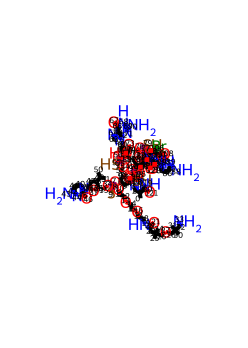 Cc1cn([C@H]2CC(OP(=S)(OCCOCCOCCNC(=O)CC(C)(C)COCC(C)(C)CN)OC[C@H]3O[C@@H](n4ccc(N)nc4=O)CC3C(C)C)[C@@H](COP(=O)(S)OC3C[C@H](n4cnc5c(=O)[nH]c(N)nc54)O[C@@H]3COP(=O)(S)OC3C[C@H](n4ccc(N)nc4=O)O[C@@H]3COP(=O)(S)OC3C[C@H](n4cc(Br)c(=O)[nH]c4=O)O[C@@H]3CO)O2)c(=O)[nH]c1=O